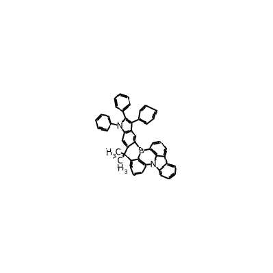 CC1(C)c2cc3c(cc2B2c4c(cccc41)-n1c4ccccc4c4cccc2c41)c(-c1ccccc1)c(-c1ccccc1)n3-c1ccccc1